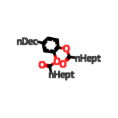 CCCCCCCCCCc1ccc(OC(=O)CCCCCCC)c(OC(=O)CCCCCCC)c1